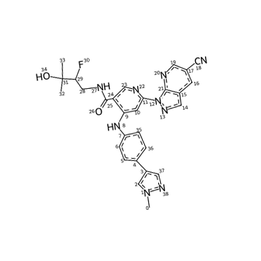 Cn1cc(-c2ccc(Nc3cc(-n4ncc5cc(C#N)cnc54)ncc3C(=O)NCC(F)C(C)(C)O)cc2)cn1